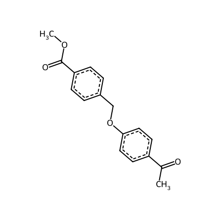 COC(=O)c1ccc(COc2ccc(C(C)=O)cc2)cc1